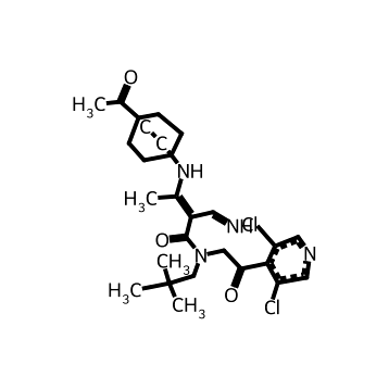 CC(=O)C12CCC(N/C(C)=C(\C=N)C(=O)N(CC(=O)c3c(Cl)cncc3Cl)CC(C)(C)C)(CC1)CC2